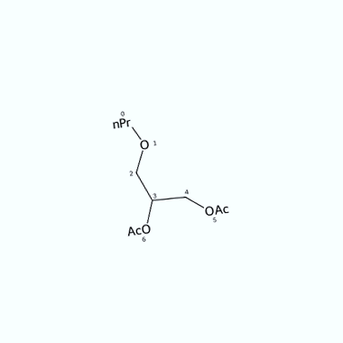 CCCOCC(COC(C)=O)OC(C)=O